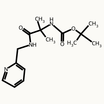 CC(C)(C)OC(=O)NC(C)(C)C(=O)NCc1ccccn1